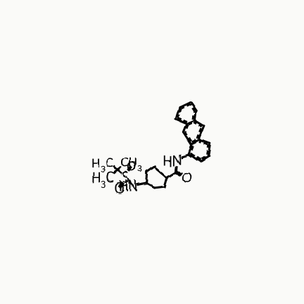 CC(C)(C)S(=O)(=O)NC1CCC(C(=O)Nc2cccc3cc4ccccc4cc23)CC1